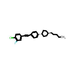 CCCCC[C@H]1CC[C@H](c2ccc(C#Cc3ccc(Cl)c(F)c3)cc2)CC1